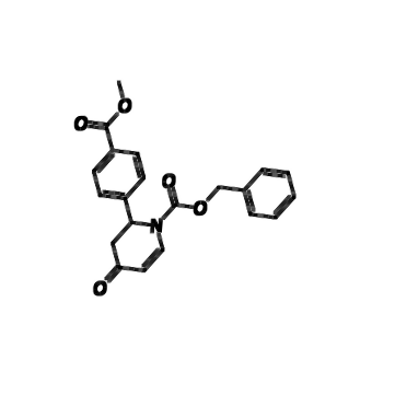 COC(=O)c1ccc(C2CC(=O)C=CN2C(=O)OCc2ccccc2)cc1